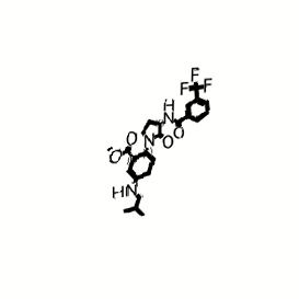 COC(=O)[C@@H]1CC(NCC(C)C)CC[C@@H]1N1CC[C@H](NC(=O)c2cccc(C(F)(F)F)c2)C1=O